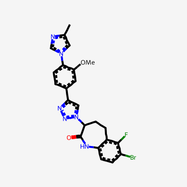 COc1cc(-c2cn(C3CCc4c(ccc(Br)c4F)NC3=O)nn2)ccc1-n1cnc(C)c1